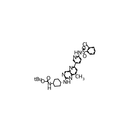 Cc1cc(-c2ccc(NS(=O)(=O)c3ccccc3Cl)nc2)nc2cnc(N[C@H]3CC[C@H](NC(=O)OC(C)(C)C)CC3)nc12